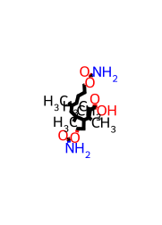 CC(C(=O)O)=C(C)C(CCOC(N)=O)C(C)(C)CC(C)CCCCOC(N)=O